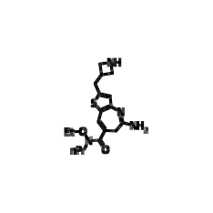 CCCN(OCC)C(=O)C1=Cc2sc(CC3CNC3)cc2N=C(N)C1